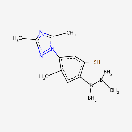 BB(B)B(B)c1cc(C)c(-n2nc(C)nc2C)cc1S